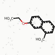 O=C(O)COc1ccc2cccc(C(=O)O)c2c1